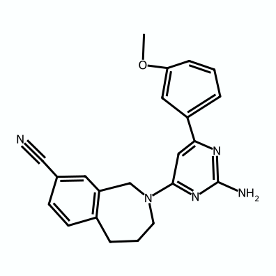 COc1cccc(-c2cc(N3CCCc4ccc(C#N)cc4C3)nc(N)n2)c1